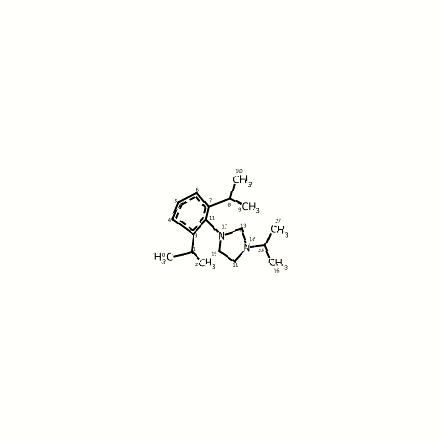 CC(C)c1cccc(C(C)C)c1N1[C]N(C(C)C)CC1